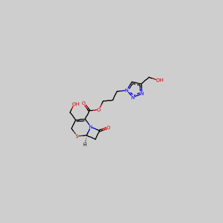 O=C(OCCCn1cc(CO)nn1)C1=C(CO)CS[C@@H]2CC(=O)N12